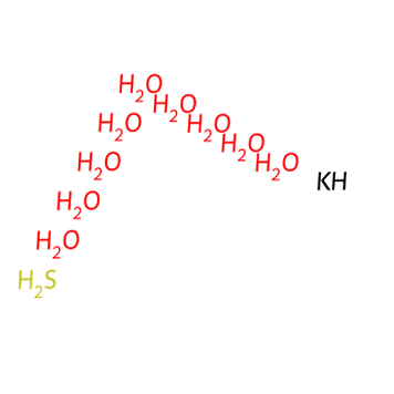 O.O.O.O.O.O.O.O.O.S.[KH]